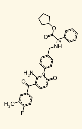 Cc1cc(C(=O)c2ccc(=O)n(-c3ccc(CN[C@H](C(=O)OC4CCCC4)c4ccccc4)cc3)c2N)ccc1F